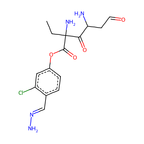 CCC(N)(C(=O)Oc1ccc(C=NN)c(Cl)c1)C(=O)C(N)CC=O